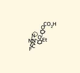 CCc1cccc(Cn2c(CN3CCCCC3)nc3cc(F)ccc32)c1OCc1ccc(OCC(=O)O)cc1